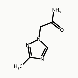 Cc1ncn(CC(N)=O)n1